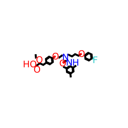 CCOC(Cc1ccc(OCCN(CCCCOc2ccc(F)cc2)C(=O)Nc2c(C)cc(C)cc2C)cc1)C(=O)O